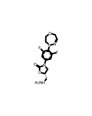 CC(=O)NC[C@H]1CN(c2cc(F)c(N3CCOCC=N3)c(F)c2)C(=O)O1